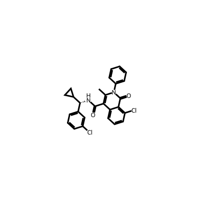 Cc1c(C(=O)N[C@H](c2cccc(Cl)c2)C2CC2)c2cccc(Cl)c2c(=O)n1-c1ccccc1